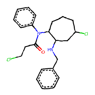 O=C(CCCl)N(c1ccccc1)C1CCCC(Cl)CC1NCc1ccccc1